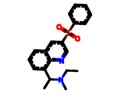 CCN(C)C(C)c1cccc2cc(S(=O)(=O)c3ccccc3)cnc12